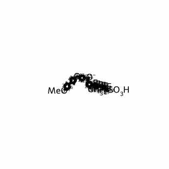 COc1ccc(-c2ccc(Oc3ccc([S+]([O-])c4ccc(C)c(C(F)(F)C(F)(F)C(F)(F)C(F)(F)C(F)(F)C(F)(F)S(=O)(=O)O)c4)cc3)cc2)cc1